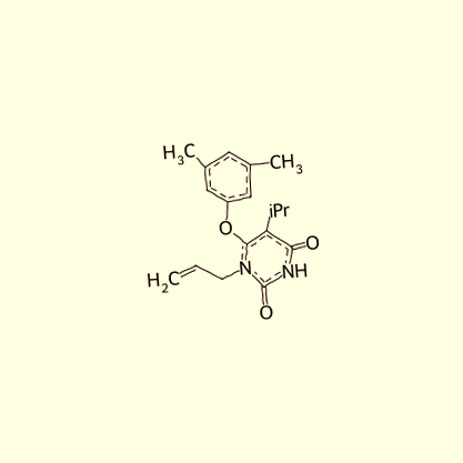 C=CCn1c(Oc2cc(C)cc(C)c2)c(C(C)C)c(=O)[nH]c1=O